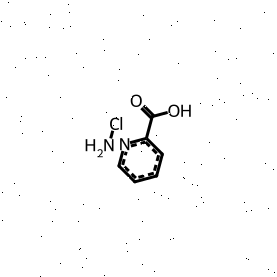 NCl.O=C(O)c1ccccn1